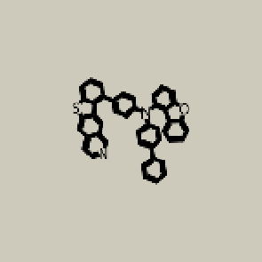 c1ccc(-c2ccc(N(c3ccc(-c4cccc5sc6cc7ccncc7cc6c45)cc3)c3cccc4oc5ccccc5c34)cc2)cc1